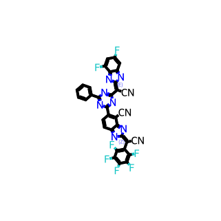 N#C/C(=C1/N=c2ccc(-c3nc(/C(C#N)=C4/N=c5cc(F)cc(F)c5=N4)nc(-c4ccccc4)n3)c(C#N)c2=N1)c1c(F)c(F)c(F)c(F)c1F